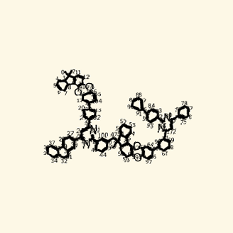 CC1(C)c2ccccc2-c2c1ccc1c2Oc2cc(-c3ccc(-c4cc(-c5ccc6c(ccc7ccccc76)c5)nc(-c5cccc(CC6(C)c7ccccc7-c7c6ccc6c7Oc7cc(-c8cccc(-c9cc(-c%10ccccc%10)nc(-c%10ccc(-c%11ccccc%11)cc%10)n9)c8)ccc7O6)c5)n4)cc3)ccc2O1